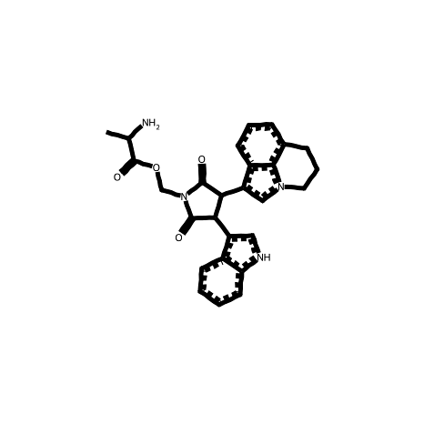 CC(N)C(=O)OCN1C(=O)C(c2c[nH]c3ccccc23)C(c2cn3c4c(cccc24)CCC3)C1=O